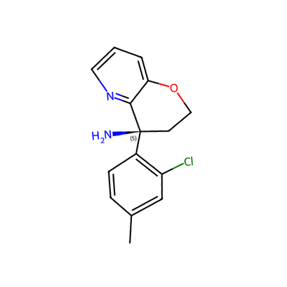 Cc1ccc([C@@]2(N)CCOc3cccnc32)c(Cl)c1